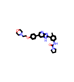 Cc1ccc(NC(=O)N2CCCC2)cc1-c1nc2ncc(-c3ccc(OCCN4CCOCC4)cc3)cc2[nH]1